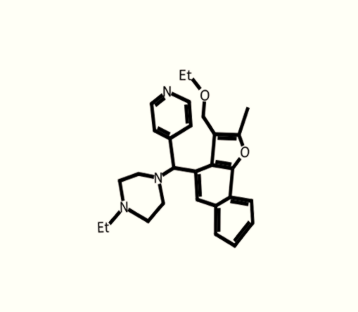 CCOCc1c(C)oc2c1c(C(c1ccncc1)N1CCN(CC)CC1)cc1ccccc12